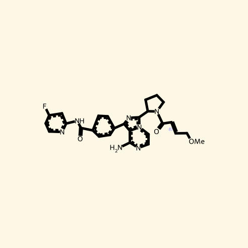 COC/C=C/C(=O)N1CCCC1c1nc(-c2ccc(C(=O)Nc3cc(F)ccn3)cc2)c2c(N)nccn12